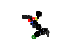 CCCCN1C=NC(CSCc2ccccc2)(OC(=O)OC)C1CC1CCC(C(c2ccc(Cl)cc2)N(C)C)CC1